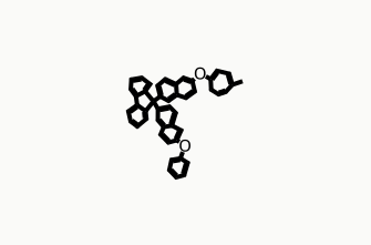 CC1=CC=C(Oc2ccc3cc(C4(c5ccc6cc(Oc7ccccc7)ccc6c5)c5ccccc5-c5ccccc54)ccc3c2)CC=C1